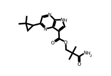 CC(C)(COC(=O)c1c[nH]c2ncc(C3CC3(C)C)nc12)C(N)=O